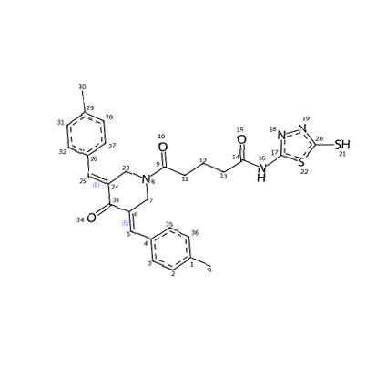 Cc1ccc(/C=C2\CN(C(=O)CCCC(=O)Nc3nnc(S)s3)C/C(=C\c3ccc(C)cc3)C2=O)cc1